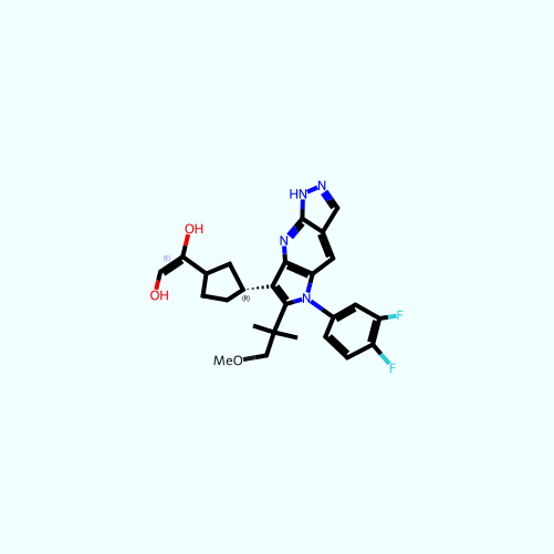 COCC(C)(C)c1c([C@@H]2CCC(/C(O)=C\O)C2)c2nc3[nH]ncc3cc2n1-c1ccc(F)c(F)c1